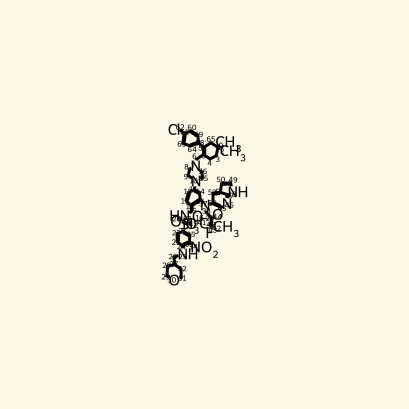 CC1(C)CCC(CN2CCN(c3ccc(C(=O)NS(=O)(=O)c4ccc(NCC5CCOCC5)c([N+](=O)[O-])c4)c(N4CC(C(C)(C)F)Oc5nc6[nH]ccc6cc54)c3)CC2)=C(c2ccc(Cl)cc2)C1